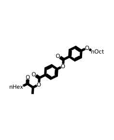 CCCCCCCCOc1ccc(C(=O)Oc2ccc(C(=O)OC(C)C(=O)CCCCCC)cc2)cc1